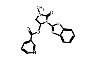 CN1CC(OC(=O)c2cccnc2)N(c2nc3ccccc3s2)C1=O